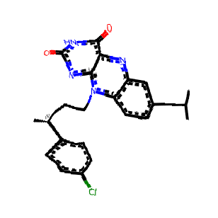 CC(C)c1ccc2c(c1)nc1c(=O)[nH]c(=O)nc-1n2CC[C@H](C)c1ccc(Cl)cc1